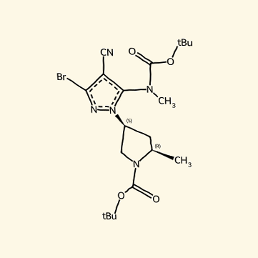 C[C@@H]1C[C@H](n2nc(Br)c(C#N)c2N(C)C(=O)OC(C)(C)C)CN1C(=O)OC(C)(C)C